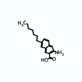 CCCCCCCc1ccc2cc(N)c(C(=O)O)cc2c1